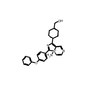 N[N+]12C=CN=CC1=C(C1CCC(CO)CC1)N=C2c1ccc(Oc2ccccc2)cc1